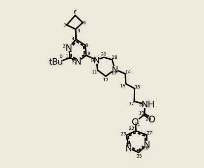 CC(C)(C)c1nc(C2CCC2)cc(N2CCN(CCCCNC(=O)Oc3cncnc3)CC2)n1